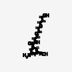 C#Cc1cc(N)cc(C(=O)NCCOCCOCCCO)c1